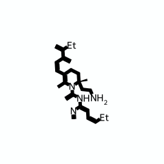 C=N/C(=C\C=C/CC)NC(=C)N1C(C)=C(/C=C\C(=C)C(=C)CC)CC[C@]1(C)CCN